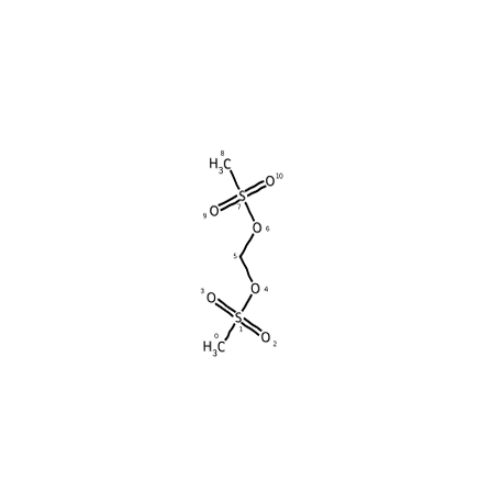 CS(=O)(=O)OCOS(C)(=O)=O